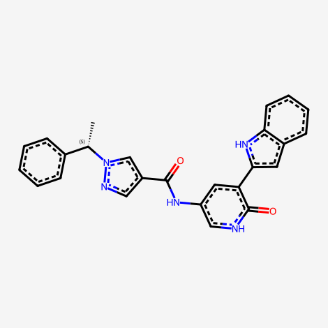 C[C@@H](c1ccccc1)n1cc(C(=O)Nc2c[nH]c(=O)c(-c3cc4ccccc4[nH]3)c2)cn1